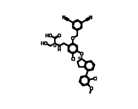 COc1cccc(-c2cccc3c2CC[C@@H]3Oc2cc(OCc3cc(C#N)cc(C#N)c3)c(CN[C@@H](CO)C(=O)O)cc2Cl)c1Cl